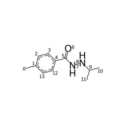 Cc1ccc(C(=O)NNC(C)C)cc1